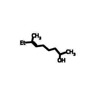 CC/C(C)=C/CCCC(C)O